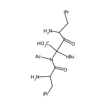 CCCCC(C(=O)O)(C(=O)C(N)CC(C)C)N(C(C)=O)C(=O)C(N)CC(C)C